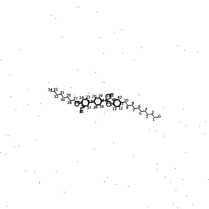 CCCCCCCCCCCc1ccc(OC(=O)c2ccc(-c3ccc(OCCCCCCCC)c(F)c3)cc2)c(F)c1